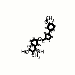 COc1cccc(C2CCC(COc3cccc([C@H](O)[C@H](C)C(=O)O)c3)C2)c1